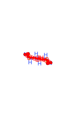 O=C(NCCOCCOCCNS(=O)(=O)c1ccc(O[C@H]2c3ccccc3CC2N2CCCCC2)cc1)[C@H](O)[C@@H](O)C(=O)NCCOCCOCCNS(=O)(=O)c1ccc(O[C@H]2c3ccccc3CC2N2CCCCC2)cc1